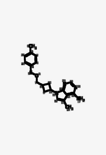 Cc1ccc(SOCC2CC(n3cc(C)c4c(N)ncnc43)C2)cc1